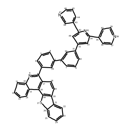 c1cc(-c2cccc(-c3nc4ccccc4c4c3ccc3c5ccccc5sc34)c2)cc(-c2cc(-c3ccncc3)nc(-c3cccnc3)c2)c1